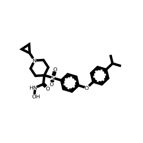 CC(C)c1ccc(Oc2ccc(S(=O)(=O)C3(C(=O)NO)CCN(C4CC4)CC3)cc2)cc1